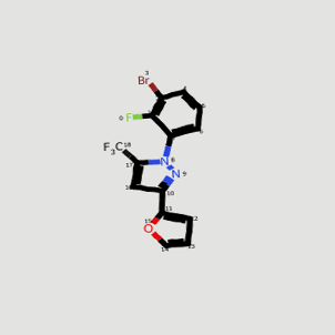 Fc1c(Br)cccc1-n1nc(-c2ccco2)cc1C(F)(F)F